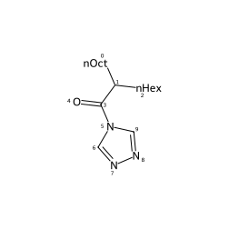 CCCCCCCCC(CCCCCC)C(=O)n1cnnc1